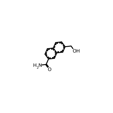 NC(=O)c1ccc2ccc(CO)cc2c1